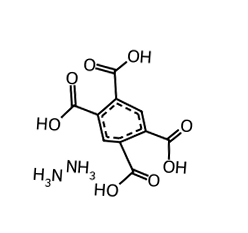 N.N.O=C(O)c1cc(C(=O)O)c(C(=O)O)cc1C(=O)O